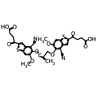 C=C(COc1c(OC)cc2sc(C(=O)CCC(=O)O)cc2c1C#N)COc1c(OC)cc2sc(C(=O)CCC(=O)O)cc2c1C#N